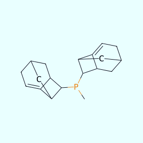 CP(C1C2CC3CC=C2C1C3)C1C2CC3CC=C2C1C3